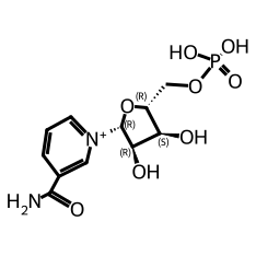 NC(=O)c1ccc[n+]([C@@H]2O[C@H](COP(=O)(O)O)[C@@H](O)[C@H]2O)c1